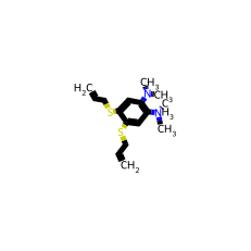 C=CCSc1cc(N(C)C)c(N(C)C)cc1SCC=C